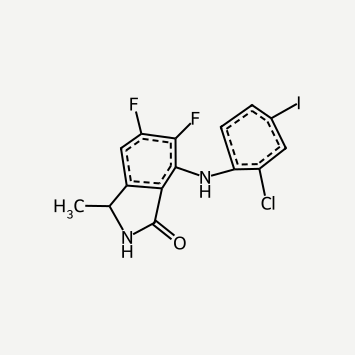 CC1NC(=O)c2c1cc(F)c(F)c2Nc1ccc(I)cc1Cl